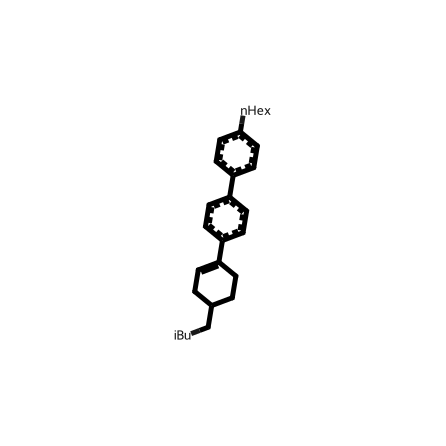 CCCCCCc1ccc(-c2ccc(C3=CCC(CC(C)CC)CC3)cc2)cc1